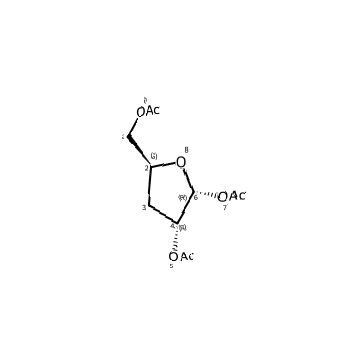 CC(=O)OC[C@@H]1C[C@@H](OC(C)=O)[C@@H](OC(C)=O)O1